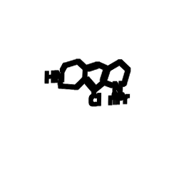 CCCN1CCCc2cc3c(c(Cl)c21)CCNCC3